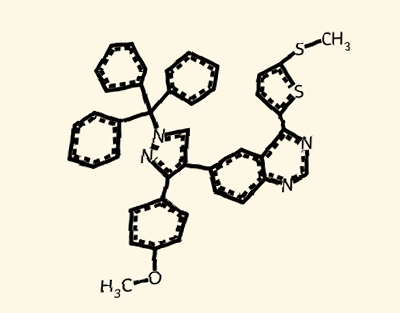 COc1ccc(-c2nn(C(c3ccccc3)(c3ccccc3)c3ccccc3)cc2-c2ccc3ncnc(-c4ccc(SC)s4)c3c2)cc1